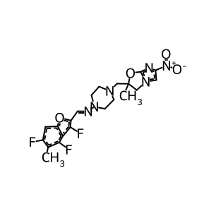 Cc1c(F)cc2oc(C=NN3CCN(CC4(C)Cn5cc([N+](=O)[O-])nc5O4)CC3)c(F)c2c1F